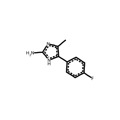 Cc1nc(N)[nH]c1-c1ccc(F)cc1